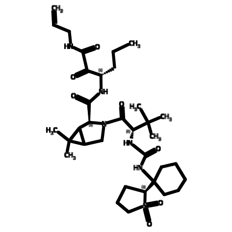 C=CCNC(=O)C(=O)[C@H](CCC)NC(=O)[C@@H]1C2C(CN1C(=O)[C@@H](NC(=O)NC1([C@@H]3CCCS3(=O)=O)CCCCC1)C(C)(C)C)C2(C)C